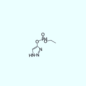 CCO[PH](=O)Oc1c[nH]nn1